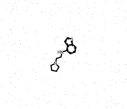 c1cc(NCCN2CCCC2)c2ccsc2c1